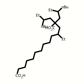 CCCCC(CC)CC(CC(CC)CCCC)(CC(CC)CCCCCCCCCC(=O)O)C(=O)O